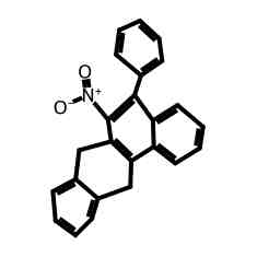 O=[N+]([O-])c1c2c(c3ccccc3c1-c1ccccc1)Cc1ccccc1C2